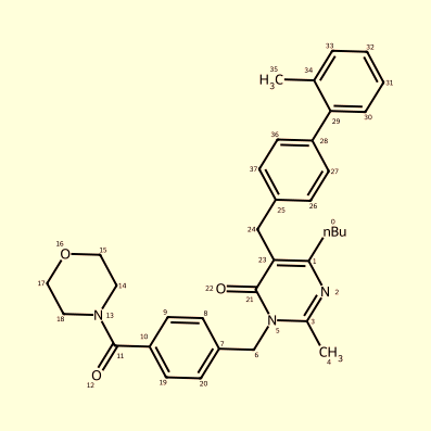 CCCCc1nc(C)n(Cc2ccc(C(=O)N3CCOCC3)cc2)c(=O)c1Cc1ccc(-c2ccccc2C)cc1